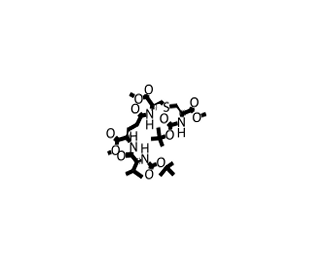 COC(=O)[C@H](CSC[C@@H](NC(=O)CC[C@@H](NC(=O)[C@@H](NC(=O)OC(C)(C)C)C(C)C)C(=O)OC)C(=O)OC)NC(=O)OC(C)(C)C